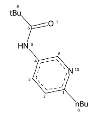 CCCCc1ccc(NC(=O)C(C)(C)C)cn1